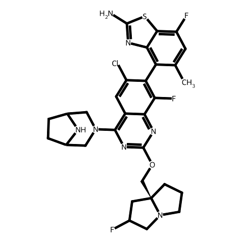 Cc1cc(F)c2sc(N)nc2c1-c1c(Cl)cc2c(N3CC4CCC(C3)N4)nc(OC[C@@]34CCCN3CC(F)C4)nc2c1F